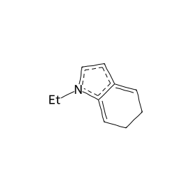 CCn1ccc2c1=CCCC=2